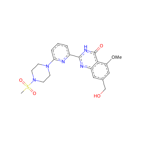 COc1cc(CO)cc2nc(-c3cccc(N4CCN(S(C)(=O)=O)CC4)n3)[nH]c(=O)c12